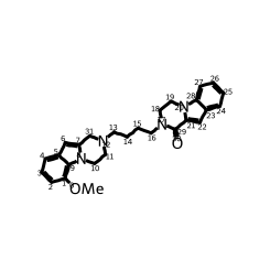 COc1cccc2cc3n(c12)CCN(CCCCN1CCn2c(cc4ccccc42)C1=O)C3